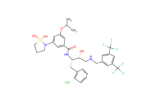 CC(C)Oc1cc(C(=O)N[C@@H](Cc2ccccc2)[C@H](O)CNCc2cc(C(F)(F)F)cc(C(F)(F)F)c2)cc(N2CCCS2(O)O)c1.Cl